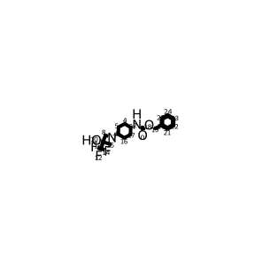 O=C(N[C@H]1CC[C@@H](N2CC(O)(C(F)(F)F)C2)CC1)OCc1ccccc1